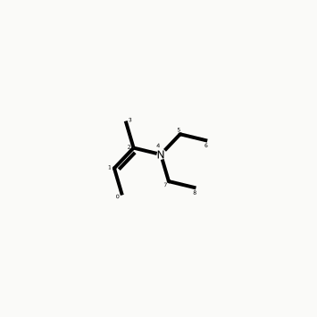 CC=C(C)N(CC)CC